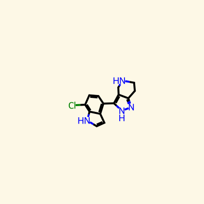 Clc1ccc(-c2[nH]nc3c2CNCC3)c2cc[nH]c12